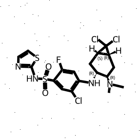 CN(C)[C@@H]1C[C@@H]2[C@H](C[C@H]1Nc1cc(F)c(S(=O)(=O)Nc3nccs3)cc1Cl)C2(Cl)Cl